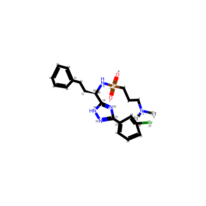 CCN(CC)CCCS(=O)(=O)N[C@H](CCc1ccccc1)c1nc(-c2cccc(Br)c2)n[nH]1